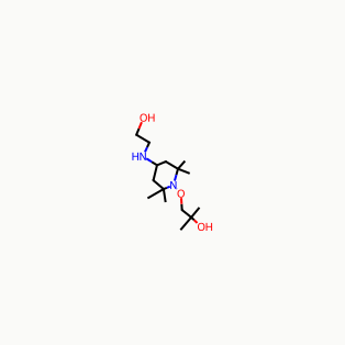 CC(C)(O)CON1C(C)(C)CC(NCCO)CC1(C)C